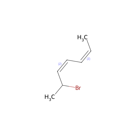 C/C=C\C=C/C(C)Br